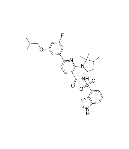 CC(C)COc1cc(F)cc(-c2ccc(C(=O)NS(=O)(=O)c3cccc4[nH]ccc34)c(N3CCC(C)C3(C)C)n2)c1